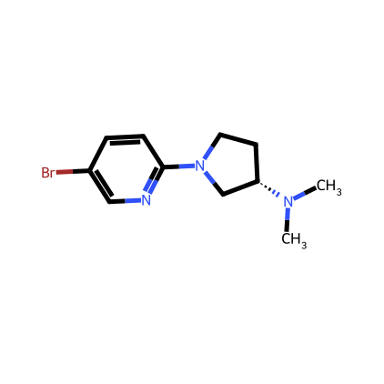 CN(C)[C@H]1CCN(c2ccc(Br)cn2)C1